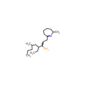 CCCC(C)CC(CC)/C(P)=C/CC1=NC(C)CCCC1